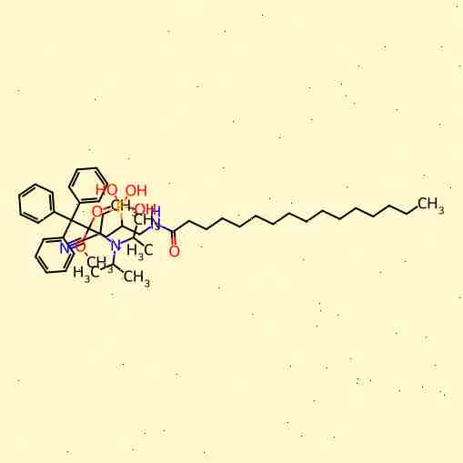 CCCCCCCCCCCCCCCC(=O)NCC(CC(OC)(OC)C(c1ccccc1)(c1ccccc1)c1ccccc1)P(O)(O)(O)CC(C#N)N(C(C)C)C(C)C